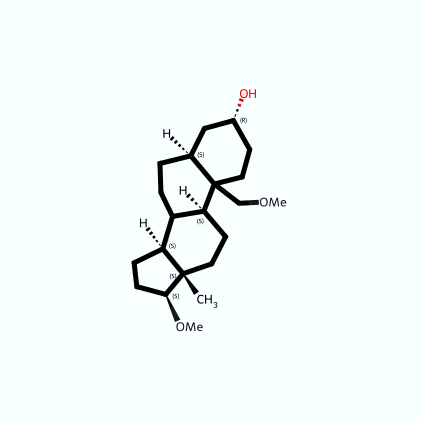 COCC12CC[C@@H](O)C[C@@H]1CCC1[C@@H]2CC[C@]2(C)[C@@H](OC)CC[C@@H]12